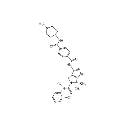 CN1CCC(NC(=O)c2ccc(C(=O)Nc3n[nH]c4c3CN(C(=O)N(Cl)c3ccccc3Cl)C4(C)C)cc2)CC1